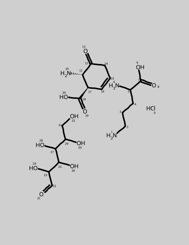 Cl.NCCCC(N)C(=O)O.N[C@@H]1C(=O)CC=C[C@H]1C(=O)O.O=CC(O)C(O)C(O)C(O)CO